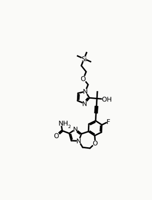 CC(O)(C#Cc1cc2c(cc1F)OCCn1cc(C(N)=O)nc1-2)c1nccn1COCC[Si](C)(C)C